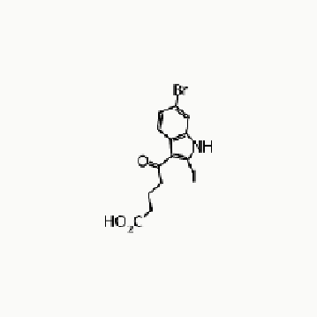 O=C(O)CCCC(=O)c1c(I)[nH]c2cc(Br)ccc12